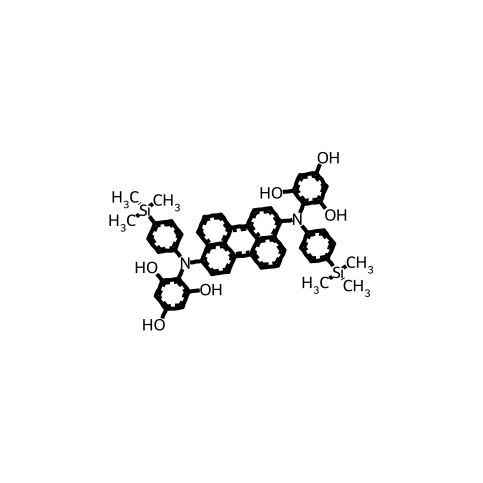 C[Si](C)(C)c1ccc(N(c2c(O)cc(O)cc2O)c2ccc3c4cccc5c(N(c6ccc([Si](C)(C)C)cc6)c6c(O)cc(O)cc6O)ccc(c6cccc2c63)c54)cc1